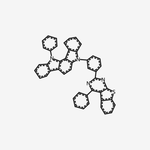 c1ccc(-c2nc(-c3cccc(-n4c5ccccc5c5c4ccc4c6ccccc6n(-c6ccccc6)c45)c3)nc3sc4ccccc4c23)cc1